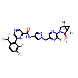 Cc1nc(Cn2cc(NC(=O)c3cncc(-c4c(C(F)F)ccc(Cl)c4F)n3)cn2)cnc1N1C[C@H]2C[C@H]2C1=O